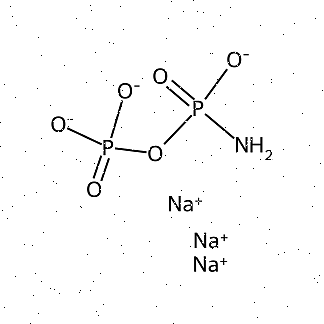 NP(=O)([O-])OP(=O)([O-])[O-].[Na+].[Na+].[Na+]